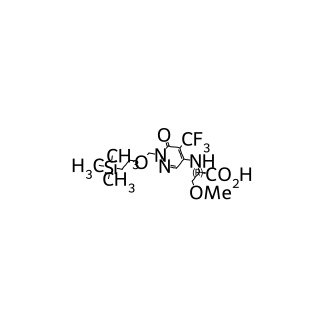 COC[C@@H](Nc1cnn(COCC[Si](C)(C)C)c(=O)c1C(F)(F)F)C(=O)O